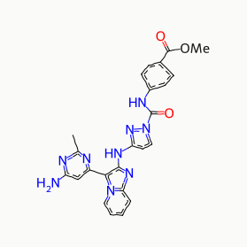 COC(=O)c1ccc(NC(=O)n2ccc(Nc3nc4ccccn4c3-c3cc(N)nc(C)n3)n2)cc1